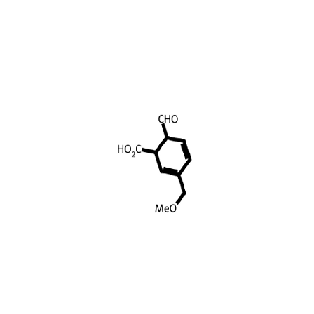 COCC1=CC(C(=O)O)C(C=O)C=C1